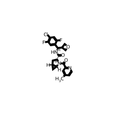 Cc1ccnc(C(=O)N2[C@@H](C(=O)N[C@@H](c3cc(F)c(Cl)cc3F)C3COC3)C[C@H]3C[C@H]32)c1